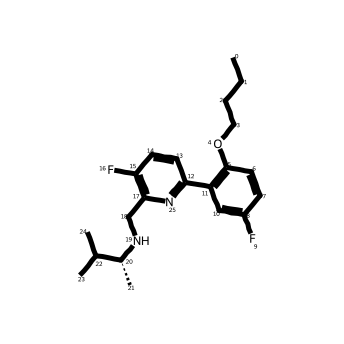 CCCCOc1ccc(F)cc1-c1ccc(F)c(CN[C@H](C)C(C)C)n1